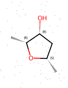 C[C@H]1C[C@@H](O)[C@@H](C)O1